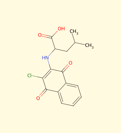 CC(C)CC(NC1=C(Cl)C(=O)c2ccccc2C1=O)C(=O)O